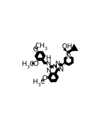 COc1ccc(CNc2nc3c(OC)cccc3c3nc([C@@H]4CCCN([C@@H](CO)C5CC5)C4)nn23)c(OC)c1